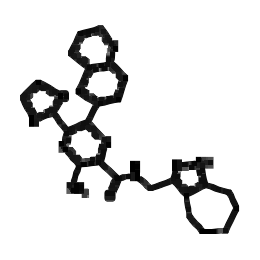 Nc1nc(-c2ncco2)c(-c2ccc3ncccc3c2)nc1C(=O)NCc1n[nH]c2c1CCCCC2